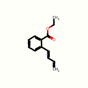 C=C/C=C/c1ccccc1C(=O)OCC